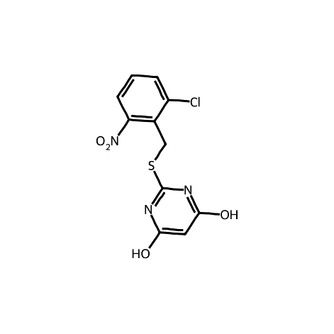 O=[N+]([O-])c1cccc(Cl)c1CSc1nc(O)cc(O)n1